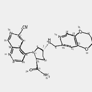 N#Cc1cc2c(N3C[C@H](NCc4cc5c(cn4)OCCO5)C[C@H]3C(N)=O)ccnc2cn1